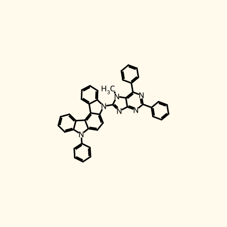 Cn1c(-n2c3ccccc3c3c4c5ccccc5n(-c5ccccc5)c4ccc32)nc2nc(-c3ccccc3)nc(-c3ccccc3)c21